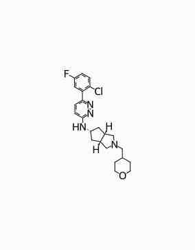 Fc1ccc(Cl)c(-c2ccc(N[C@@H]3C[C@@H]4CN(CC5CCOCC5)C[C@@H]4C3)nn2)c1